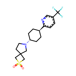 O=S1(=O)CC2(CCN([C@H]3CC[C@H](c4ccc(C(F)(F)F)cn4)CC3)C2)C1